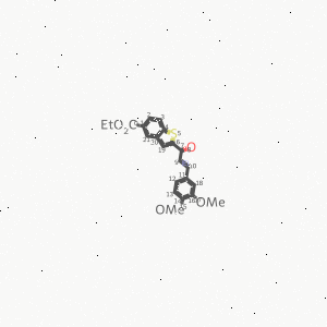 CCOC(=O)c1ccc2sc(C(=O)/C=C/c3ccc(OC)c(OC)c3)cc2c1